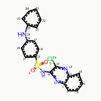 O=S(=O)(Nc1nc2ccccc2nc1Cl)c1ccc(Nc2ccccc2)cc1